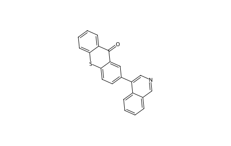 O=c1c2ccccc2sc2ccc(-c3cncc4ccccc34)cc12